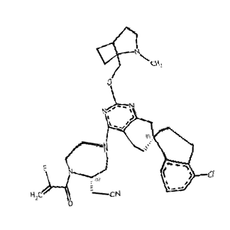 C=C(F)C(=O)N1CCN(c2nc(OCC34CCC3CCN4C)nc3c2CC[C@@]2(CCc4c(Cl)cccc42)C3)C[C@@H]1CC#N